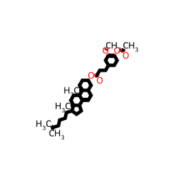 COC1=C(OC(C)=O)CCC(CCC(=O)O[C@H]2CCC3(C)C(CC=C4C5CCC(CCCCC(C)C)C5(C)CCC43)C2)C1